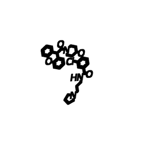 O=C(NCCCN1CCCC1)c1ccc(OC2CCN(C(=O)C3c4ccccc4Oc4ccccc43)CC2)c(Cl)c1